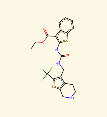 CCOC(=O)c1c(NC(=O)NCc2c(C(F)(F)F)sc3c2CCNC3)sc2ccccc12